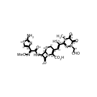 CON=C(C(=O)NC1C(=O)N2C(C(=O)O)=C(C=C(S)c3nn(CC=O)c(=O)c(=O)n3C)CSC12)c1csc(N)n1